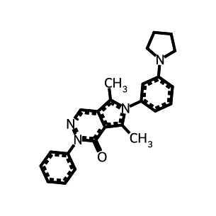 Cc1c2cnn(-c3ccccc3)c(=O)c2c(C)n1-c1cccc(N2CCCC2)c1